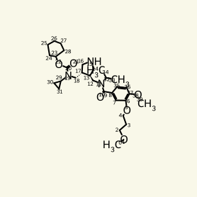 COCCCOc1cc(C(=O)N(C[C@@H]2CNC[C@H]2CN(C(=O)OC2CCCCC2)C2CC2)C(C)C)ccc1OC